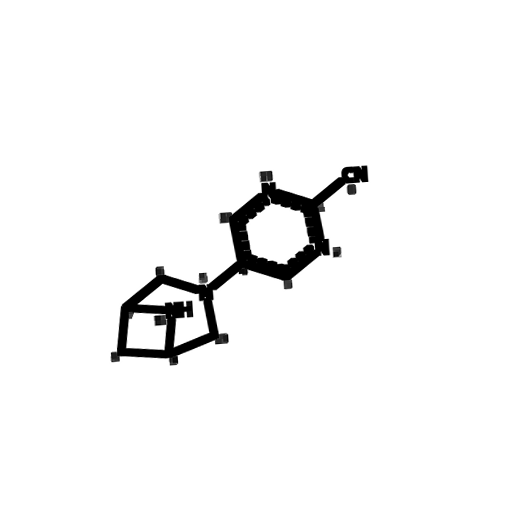 N#Cc1ncc(N2CC3CC(C2)N3)cn1